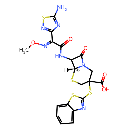 CON=C(C(=O)NC1C(=O)N2CC(Sc3nc4ccccc4s3)(C(=O)O)CS[C@H]12)c1nsc(N)n1